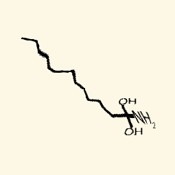 CCCCCCCCCCCC(N)(O)O